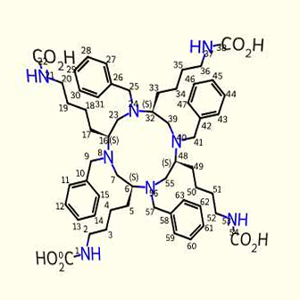 O=C(O)NCCCC[C@H]1CN(Cc2ccccc2)[C@@H](CCCCNC(=O)O)CN(Cc2ccccc2)[C@@H](CCCCNC(=O)O)CN(Cc2ccccc2)[C@@H](CCCCNC(=O)O)CN1Cc1ccccc1